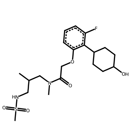 CC(CNS(C)(=O)=O)CN(C)C(=O)COc1cccc(F)c1C1CCC(O)CC1